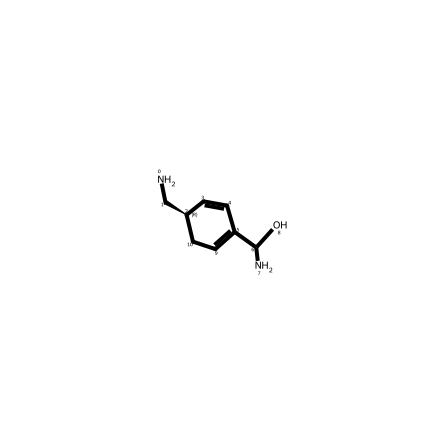 NC[C@H]1C=CC(C(N)O)=CC1